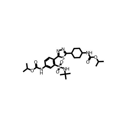 CC(C)OC(=O)Nc1ccc(-c2nnc(C3CCC(NC(=O)OC(C)C)CC3)s2)c(S(=O)(=O)NC(C)(C)C)c1